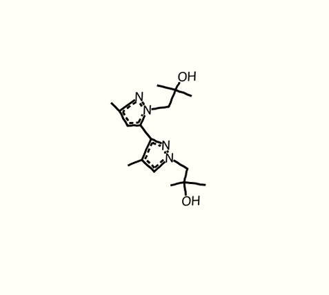 Cc1cc(-c2nn(CC(C)(C)O)cc2C)n(CC(C)(C)O)n1